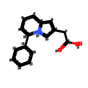 O=C(O)Cc1cc2cccc(-c3ccccc3)n2c1